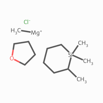 C1CCOC1.CC1CCCC[Si]1(C)C.[CH3][Mg+].[Cl-]